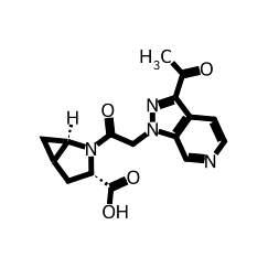 CC(=O)c1nn(CC(=O)N2[C@@H]3CC3C[C@H]2C(=O)O)c2cnccc12